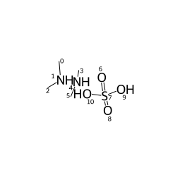 CNC.CNC.O=S(=O)(O)O